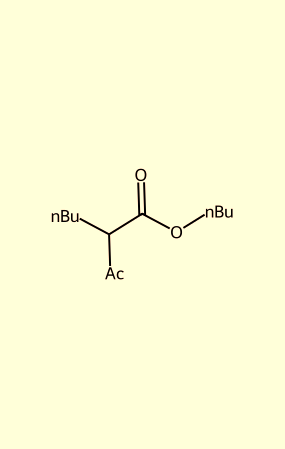 CCCCOC(=O)C(CCCC)C(C)=O